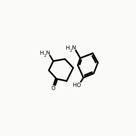 NC1CCCC(=O)C1.Nc1cccc(O)c1